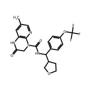 Cc1cnc2c(c1)NC(=O)CN2C(=O)NC(c1ccc(OC(F)(F)F)cc1)C1CCOC1